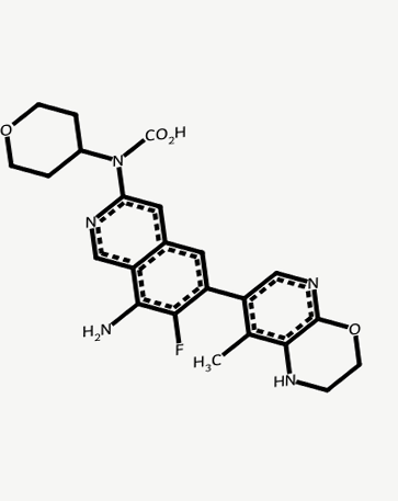 Cc1c(-c2cc3cc(N(C(=O)O)C4CCOCC4)ncc3c(N)c2F)cnc2c1NCCO2